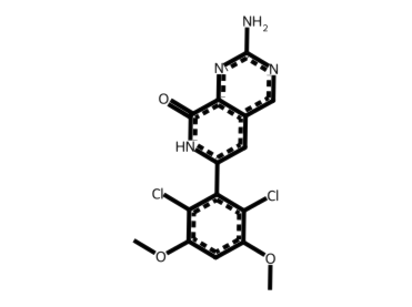 COc1cc(OC)c(Cl)c(-c2cc3cnc(N)nc3c(=O)[nH]2)c1Cl